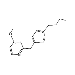 CCCCc1ccc(Cc2cc(OC)ccn2)cc1